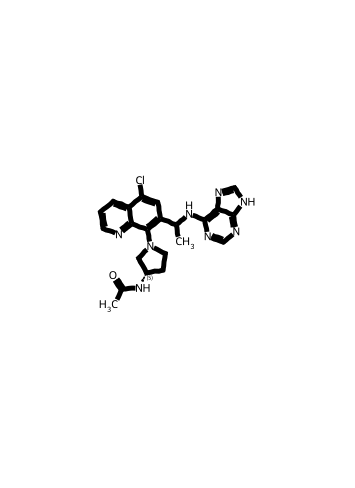 CC(=O)N[C@H]1CCN(c2c(C(C)Nc3ncnc4[nH]cnc34)cc(Cl)c3cccnc23)C1